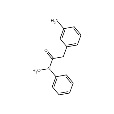 CN(C(=O)Cc1cccc(N)c1)c1ccccc1